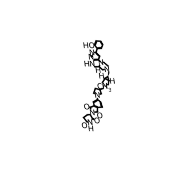 CC1(CN2C[C@@H]3[C@@H](CN4CCN5c6cc(-c7ccccc7O)nnc6NC[C@H]5C4)[C@@H]3C2)CCN(c2ccc3c(c2)C(=O)N(C2CCC(=O)NC2=O)C3=O)C1